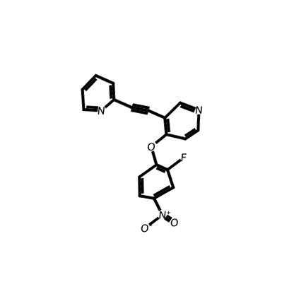 O=[N+]([O-])c1ccc(Oc2ccncc2C#Cc2ccccn2)c(F)c1